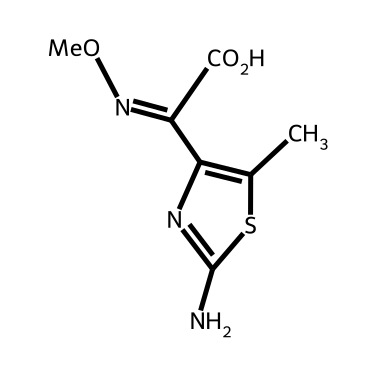 CON=C(C(=O)O)c1nc(N)sc1C